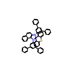 c1ccc(-c2cc(-c3ccccc3)cc(N3c4ccc5ccccc5c4N(c4cc(-c5ccccc5)cc(-c5ccccc5)c4)C34c3ccccc3Sc3ccccc34)c2)cc1